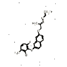 CCOC(=O)CO/N=C(\C)COc1ccc2ccc(Oc3c(F)ccc(C(F)(F)F)c3Cl)cc2c1